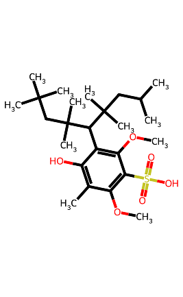 COc1c(C)c(O)c(C(C(C)(C)CC(C)C)C(C)(C)CC(C)(C)C)c(OC)c1S(=O)(=O)O